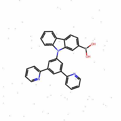 OB(O)c1ccc2c3ccccc3n(-c3cc(-c4ccccn4)cc(-c4ccccn4)c3)c2c1